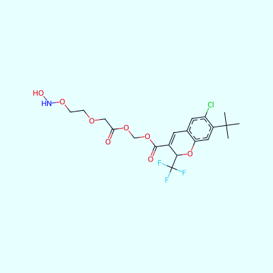 CC(C)(C)c1cc2c(cc1Cl)C=C(C(=O)OCOC(=O)COCCONO)C(C(F)(F)F)O2